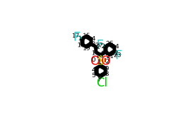 O=S(=O)(c1ccc(Cl)cc1)C(CCc1ccc(F)cc1)c1cc(F)ccc1F